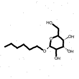 CCCCCCO[C@@H]1OC(CO)[C@H](O)[C@H](O)C1O